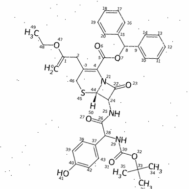 C=C(CC1=C(C(=O)OC(c2ccccc2)c2ccccc2)N2C(=O)C(NC(=O)C(NC(=O)OC(C)(C)C)c3ccc(O)cc3)[C@@H]2SC1)OCC